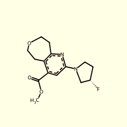 COC(=O)c1cc(N2CC[C@H](F)C2)nc2c1CCOCC2